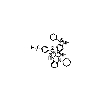 Cc1ccc(S(=O)(=O)NC2Nc3ccccc3N(C3CCCCCC3)C2Nc2ccc3c(c2)NSN3C2CCCCC2)cc1